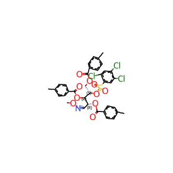 CO/N=C\[C@@H](OC(=O)c1ccc(C)cc1)[C@@H](OC(=O)c1ccc(C)cc1)[C@H](COC(=O)c1ccc(C)cc1)OS(=O)(=O)c1cc(Cl)c(Cl)cc1Cl